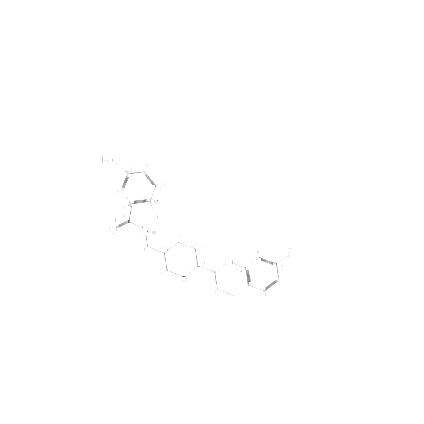 CCC(Oc1cccc(F)c1)C1CCC(CN2Cc3ccc(O)cc3C2=O)CC1